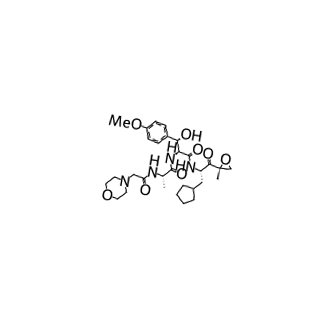 COc1ccc([C@@H](O)[C@H](NC(=O)[C@H](C)NC(=O)CN2CCOCC2)C(=O)N[C@@H](CC2CCCC2)C(=O)[C@@]2(C)CO2)cc1